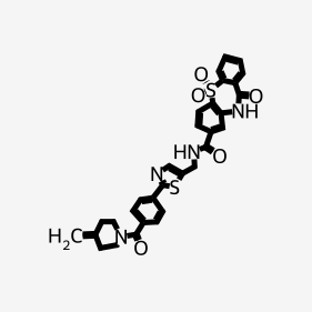 C=C1CCN(C(=O)c2ccc(-c3ncc(CNC(=O)c4ccc5c(c4)NC(=O)c4ccccc4S5(=O)=O)s3)cc2)CC1